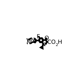 C[C@H]1Cn2cc(-c3cc4c(cc3F)C(=O)C(C(=O)O)CN4C3CC3)cc2CN1C